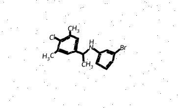 Cc1cc(C(C)Nc2cccc(Br)c2)cc(C)c1Cl